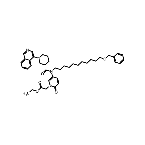 CCOC(=O)Cn1cc(N(CCCCCCCCCCCOCc2ccccc2)C(=O)[C@H]2CCCN(c3cncc4ccccc34)C2)ccc1=O